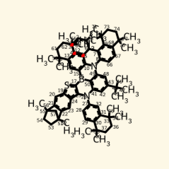 CC1C=CC=CC1c1c(N2c3cc4c(cc3B3c5sc6cc7c(cc6c5N(c5ccc6c(c5)C(C)(C)CCC6(C)C)c5cc(C(C)(C)C)cc2c53)C2(C)CCC7(C)C2)C(C)(C)CCC4(C)C)ccc2c1C(C)(C)CCC2(C)C